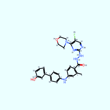 Cc1cc(Nc2ccc(-c3cccc(O)c3)cc2)ccc1C(=O)NNc1ncc(F)c(N2CCOCC2)n1